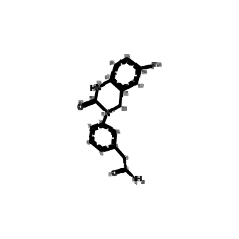 NC(=O)Cc1cccc(N2Cc3cc(F)ccc3NC2=O)c1